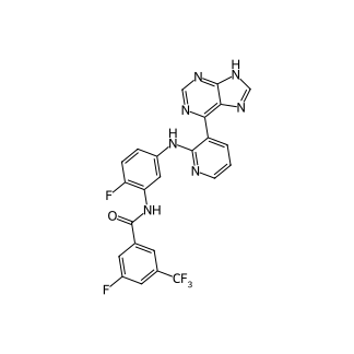 O=C(Nc1cc(Nc2ncccc2-c2ncnc3[nH]cnc23)ccc1F)c1cc(F)cc(C(F)(F)F)c1